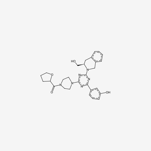 O=C(C1CCCO1)N1CCN(c2nc(-c3cccc(O)c3)nc(N3Cc4ccccc4C[C@@H]3CO)n2)CC1